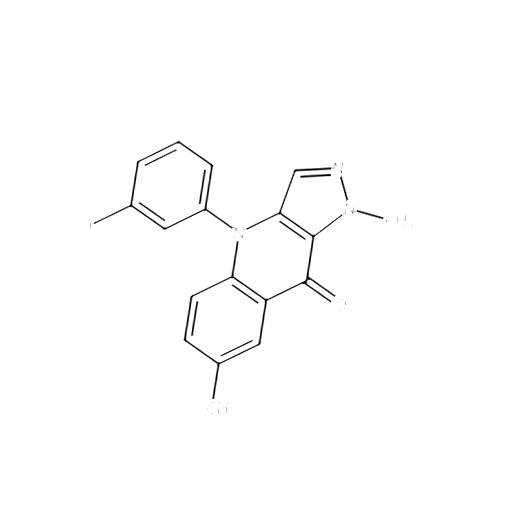 Cc1ccc2c(c1)c(=O)c1c(cnn1C)n2-c1cccc(I)c1